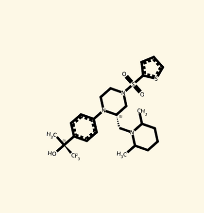 CC1CCCC(C)N1C[C@H]1CN(S(=O)(=O)c2cccs2)CCN1c1ccc([C@@](C)(O)C(F)(F)F)cc1